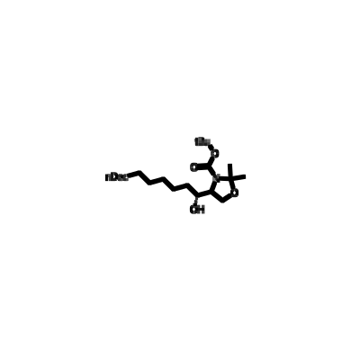 CCCCCCCCCCCCCCC[C@@H](O)C1COC(C)(C)N1C(=O)OC(C)(C)C